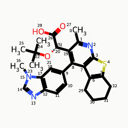 Cc1nc2sc3c(c2c(-c2ccc4ncn(C)c4c2)c1[C@H](OC(C)(C)C)C(=O)O)CCCC3